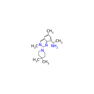 Cc1cc(C(C)N)c2c(c1)=CN(C)[C@@H](N1CCC(C)(C)CC1)N=2